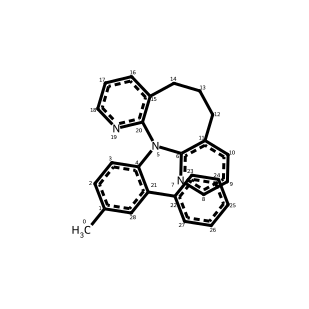 Cc1ccc(N2c3ncccc3CCCc3cccnc32)c(-c2ccccc2)c1